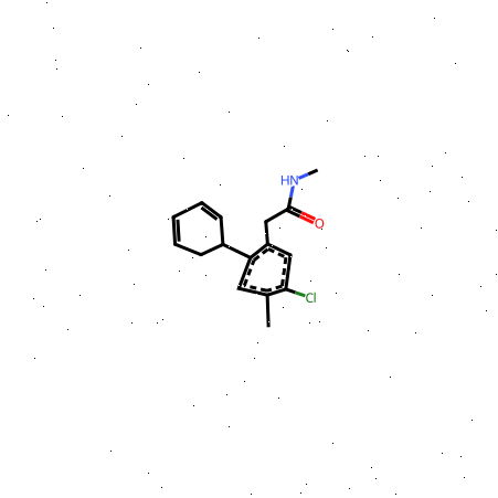 CNC(=O)Cc1cc(Cl)c(C)cc1C1C=CC=CC1